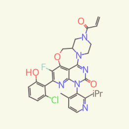 C=CC(=O)N1CCN2c3nc(=O)n(-c4c(C)ccnc4C(C)C)c4nc(-c5c(O)cccc5Cl)c(F)c(c34)OCC2C1